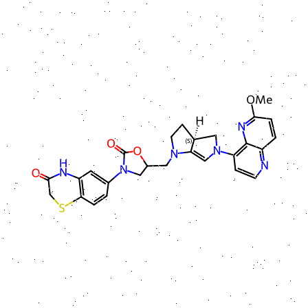 COc1ccc2nccc(N3C=C4[C@@H](CCN4CC4CN(c5ccc6c(c5)NC(=O)CS6)C(=O)O4)C3)c2n1